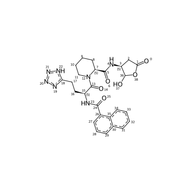 O=C1C[C@H](NC(=O)[C@@H]2CCCCN2C(=O)[C@H](CCc2nnn[nH]2)NC(=O)c2cccc3ccccc23)C(O)O1